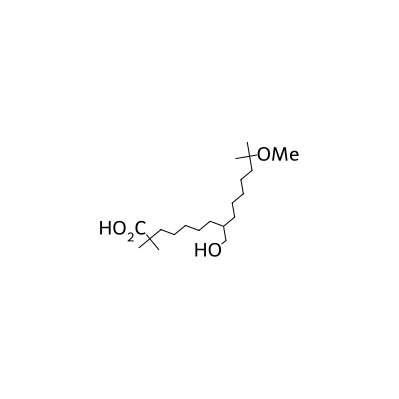 COC(C)(C)CCCCCC(CO)CCCCCC(C)(C)C(=O)O